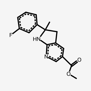 COC(=O)c1cnc2c(c1)CC(C)(c1cccc(F)c1)N2